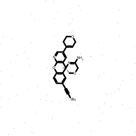 CC(C)(C)C#Cc1ccc2c(c1)[C@@]1(COCC(N)=N1)c1cc(C3=CCOCC3)cnc1O2